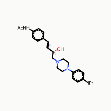 CC(=O)Nc1ccc(/C=C/[C@H](O)CN2CCN(c3ccc(C(C)C)cc3)CC2)cc1